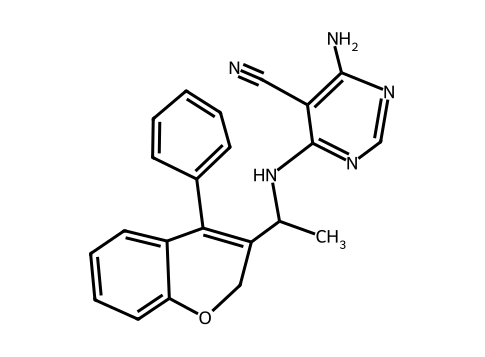 CC(Nc1ncnc(N)c1C#N)C1=C(c2ccccc2)c2ccccc2OC1